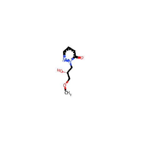 COC[C@H](O)Cn1ncc[c]c1=O